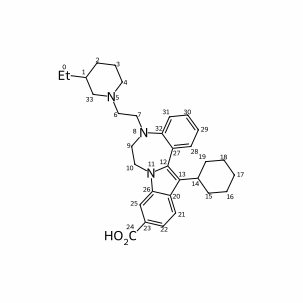 CCC1CCCN(CCN2CCn3c(c(C4CCCCC4)c4ccc(C(=O)O)cc43)-c3ccccc32)C1